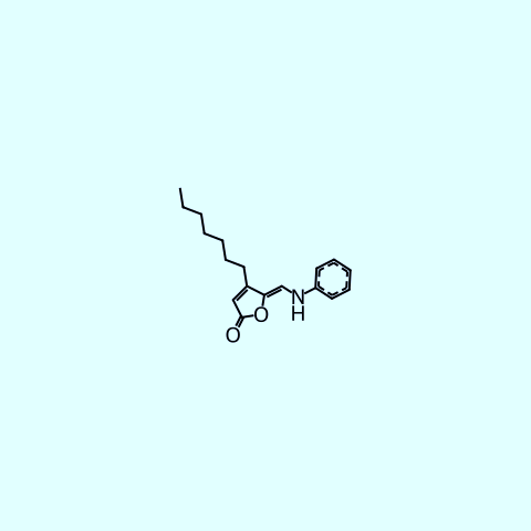 CCCCCCCC1=CC(=O)OC1=CNc1ccccc1